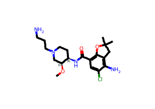 CO[C@H]1CN(CCCN)CC[C@H]1NC(=O)c1cc(Cl)c(N)c2c1OC(C)(C)C2